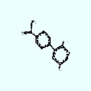 Cc1ncc(C(C)C)cc1-c1ccc(C(N)=O)cc1